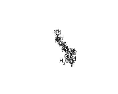 COC(=O)C1=C(CN2CCN3C(=O)N(c4ccc(-c5ncc(C6CCCCC6)[nH]5)cc4)C[C@@H]3C2)NC(c2nccs2)=NC1c1ccc(F)cc1Cl